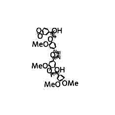 COc1ccc([C@@H](O)[C@@H](C)Oc2ccc([C@H]3O[C@H](c4ccc(O[C@H](C)[C@H](O)c5ccc6c(c5)OCO6)c(OC)c4)[C@H](C)[C@H]3C)cc2OC)cc1OC